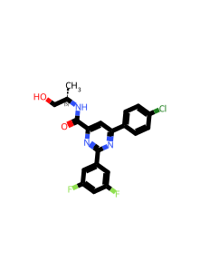 C[C@@H](CO)NC(=O)c1cc(-c2ccc(Cl)cc2)nc(-c2cc(F)cc(F)c2)n1